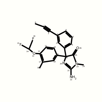 CC#Cc1cccc(C2(c3ccc(OC(F)F)c(C)c3)N=C(N)N(C)C2=O)c1